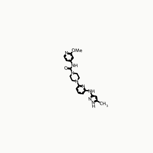 COc1cc(NC(=O)N2CCN(c3cccc(Nc4cc(C)[nH]n4)n3)CC2)ccn1